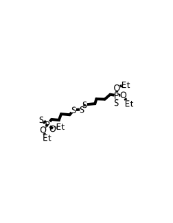 CCOP(=S)(CCCCSSSCCCCP(=S)(OCC)OCC)OCC